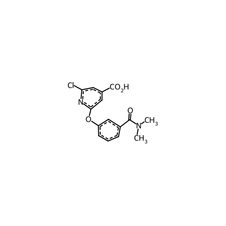 CN(C)C(=O)c1cccc(Oc2cc(C(=O)O)cc(Cl)n2)c1